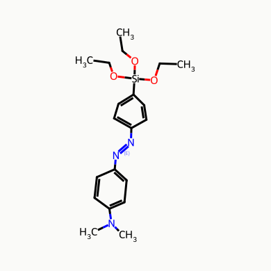 CCO[Si](OCC)(OCC)c1ccc(/N=N/c2ccc(N(C)C)cc2)cc1